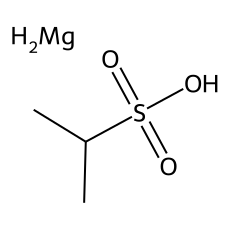 CC(C)S(=O)(=O)O.[MgH2]